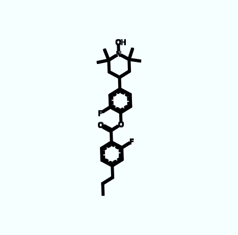 CCCc1ccc(C(=O)Oc2ccc(C3CC(C)(C)N(O)C(C)(C)C3)cc2F)c(F)c1